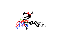 NC1CC2CCC(C1)N2C(=O)C(NS(=O)(=O)c1ccc2cc(OC3CCCC3)ccc2c1)C(F)(F)c1ccc(-c2ccc(C(F)(F)F)cc2)cc1.O=C(O)C(F)(F)F